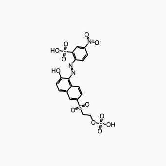 O=[N+]([O-])c1ccc(/N=N/c2c(O)ccc3cc(S(=O)(=O)CCOS(=O)(=O)O)ccc23)c(S(=O)(=O)O)c1